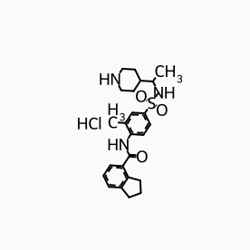 Cc1cc(S(=O)(=O)NC(C)C2CCNCC2)ccc1NC(=O)c1cccc2c1CCC2.Cl